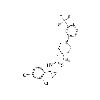 CC1(CC(=O)NC2(c3ccc(Cl)cc3Cl)CC2)CCN(c2ccnc(C(F)(F)F)c2)CC1